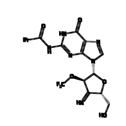 CC(C)C(=O)Nc1nc2c(ncn2[C@@H]2O[C@H](CO)C(=N)[C@H]2OC(F)(F)F)c(=O)[nH]1